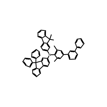 Cc1cc(-c2cccc(-c3ccccc3)c2)cc(C)c1N(c1ccc2c(c1)C(C)(C)c1ccccc1-2)c1ccc2c(c1)C(c1ccccc1)(c1ccccc1)c1ccccc1-2